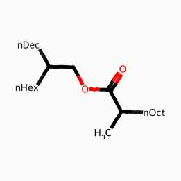 CCCCCCCCCCC(CCCCCC)COC(=O)C(C)CCCCCCCC